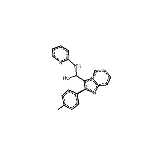 Cc1ccc(-c2nc3ccccn3c2C(O)Nc2ccccn2)cc1